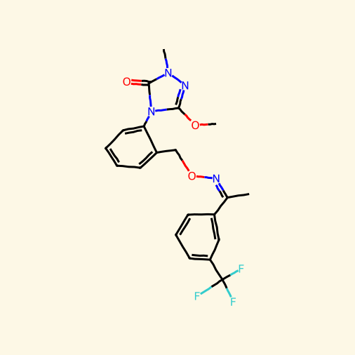 COc1nn(C)c(=O)n1-c1ccccc1CON=C(C)c1cccc(C(F)(F)F)c1